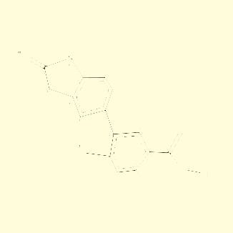 COC(=O)c1ccc(C)c(-c2ccc3c(c2)CC(=O)N3)c1